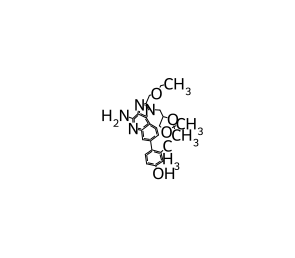 CCOCc1nc2c(N)nc3cc(-c4ccc(O)cc4C)ccc3c2n1CC1COC(C)(C)O1